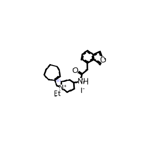 CC[N+]1(C/C2=C/CCCCCC2)CCC(NC(=O)Cc2cccc3cocc23)CC1.[I-]